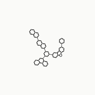 c1ccc(-c2ccc3oc4ccc(-c5cc(-c6ccc7cc(-c8ccc9ccccc9c8)ccc7c6)cc(-c6cc7ccccc7c7ccccc67)c5)cc4c3c2)cc1